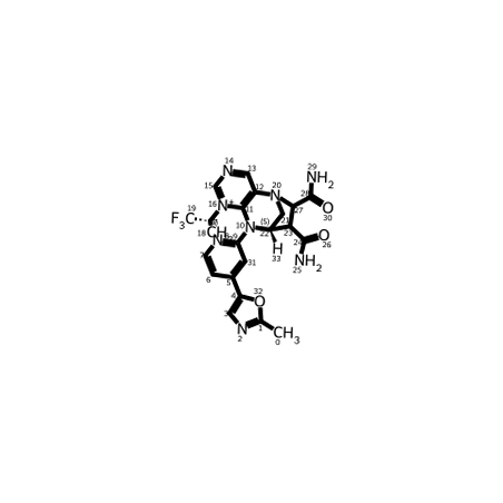 Cc1ncc(-c2ccnc(N3c4c(cnc[n+]4[C@H](C)C(F)(F)F)N4C[C@@H]3C(C(N)=O)C4C(N)=O)c2)o1